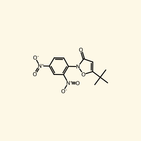 CC(C)(C)c1cc(=O)n(-c2ccc([N+](=O)[O-])cc2[N+](=O)[O-])o1